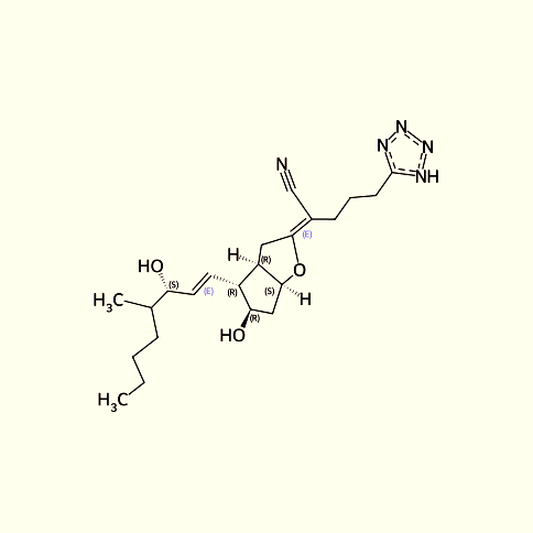 CCCCC(C)[C@H](O)/C=C/[C@@H]1[C@H]2C/C(=C(\C#N)CCCc3nnn[nH]3)O[C@H]2C[C@H]1O